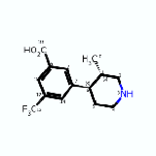 C[C@@H]1CNCC[C@H]1c1cc(C(=O)O)cc(C(F)(F)F)c1